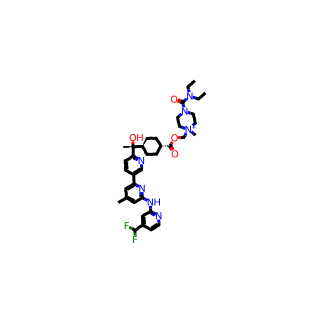 CCN(CC)C(=O)N1CC[N+](C)(COC(=O)[C@H]2CC[C@H]([C@@](C)(O)c3ccc(-c4cc(C)cc(Nc5cc(C(F)F)ccn5)n4)cn3)CC2)CC1